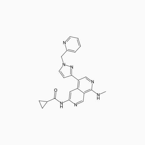 CNc1ncc(-c2ccn(Cc3ccccn3)n2)c2cc(NC(=O)C3CC3)ncc12